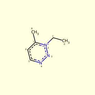 CC[n+]1nnccc1C